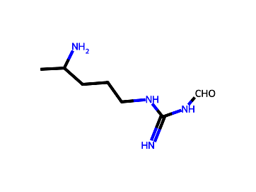 CC(N)CCCNC(=N)NC=O